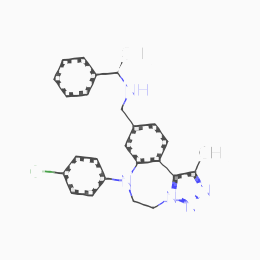 Cc1nnn2c1-c1ccc(CN[C@H](C)c3ccccc3)cc1N(c1ccc(Cl)cc1)CC2